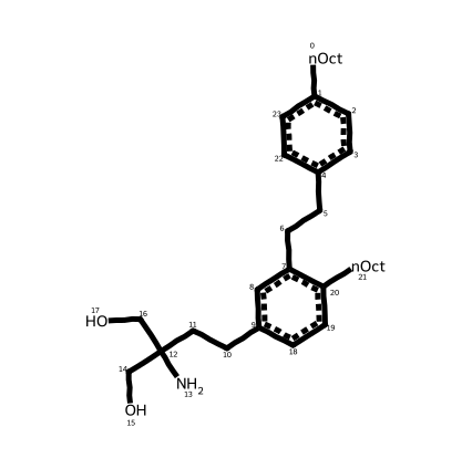 CCCCCCCCc1ccc(CCc2cc(CCC(N)(CO)CO)ccc2CCCCCCCC)cc1